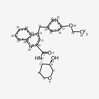 O=C(N[C@H]1CCOC[C@@H]1O)c1cc(Cc2ccc(OCC(F)(F)F)nc2)c2ccccc2n1